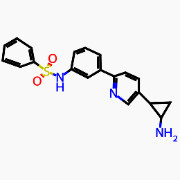 NC1CC1c1ccc(-c2cccc(NS(=O)(=O)c3ccccc3)c2)nc1